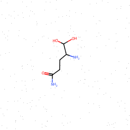 NC(=O)CCC(N)C(O)O